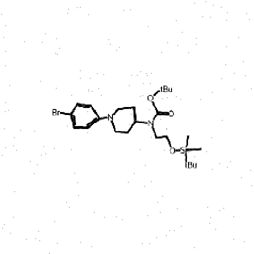 CC(C)(C)OC(=O)N(CCO[Si](C)(C)C(C)(C)C)C1CCN(c2ccc(Br)cc2)CC1